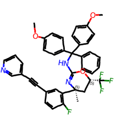 COc1ccc(C(NC2=N[C@](C)(c3cc(C#Cc4cccnc4)ccc3F)C[C@@H](C(F)(F)F)O2)(c2ccccc2)c2ccc(OC)cc2)cc1